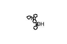 OB(c1ccccc1)c1ccc2c(c1)c1ccccc1n2-c1ccccc1